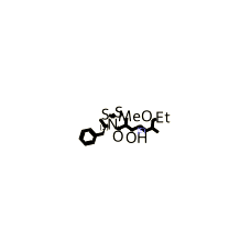 CCC(OC)C(C)/C=C/C(O)C(C)C(=O)N1C(=S)SC[C@@H]1Cc1ccccc1